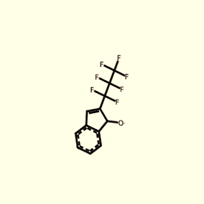 [O]C1C(C(F)(F)C(F)(F)C(F)(F)F)=Cc2ccccc21